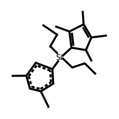 CCC[Si](CCC)(C1=C(C)C(C)=C(C)C1C)c1cc(C)cc(C)c1